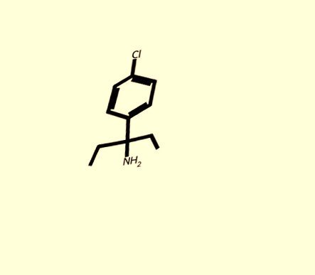 CCC(N)(CC)c1ccc(Cl)cc1